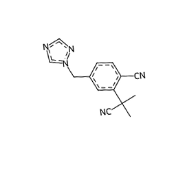 CC(C)(C#N)c1cc(Cn2cncn2)ccc1C#N